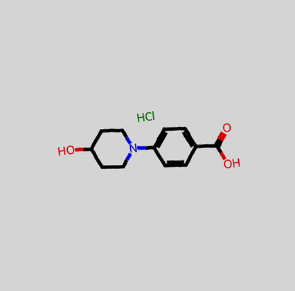 Cl.O=C(O)c1ccc(N2CCC(O)CC2)cc1